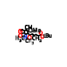 COc1c(C)c2c(c(N(C)C(=O)C(F)(F)F)c1C/C=C(\C)CCC(=O)OC(C)(C)C)C(=O)OC2